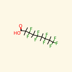 CC(C)(C(=O)O)C(F)(F)C(C)(C)C(F)(F)C(C)(C)C(F)(F)C(C)(C)C(F)(F)F